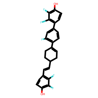 Oc1ccc(/C=C/C2CC=C(c3ccc(-c4ccc(O)c(F)c4F)cc3F)CC2)c(F)c1F